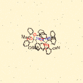 COc1ccccc1CC(O)(Cc1ccccc1OC)[C@@H](NC(=O)C1(C(=O)N[C@@H](c2cccc3ccccc23)C(O)(Cc2ccccc2OC)Cc2ccccc2OC)CCCC1)c1cccc2ccccc12